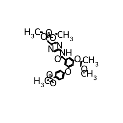 CCOP(=O)(Cc1cnc(NC(=O)c2cc(Oc3ccc(S(C)(=O)=O)cc3)cc(O[C@@H](C)COC)c2)cn1)OCC